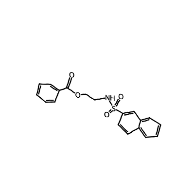 O=C(OCCNS(=O)(=O)c1ccc2ccccc2c1)c1ccccc1